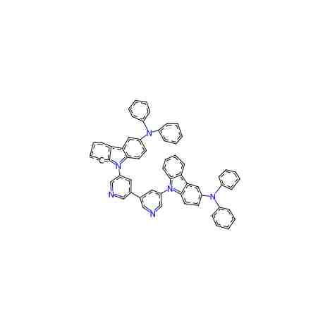 c1ccc(N(c2ccccc2)c2ccc3c(c2)c2ccccc2n3-c2cncc(-c3cncc(-n4c5ccccc5c5cc(N(c6ccccc6)c6ccccc6)ccc54)c3)c2)cc1